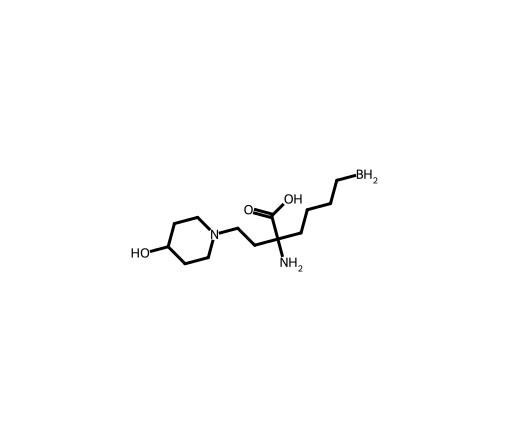 BCCCCC(N)(CCN1CCC(O)CC1)C(=O)O